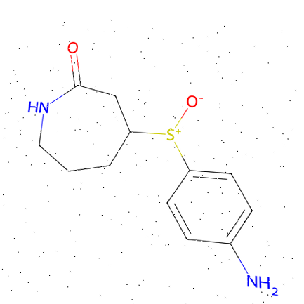 Nc1ccc([S+]([O-])C2CCCNC(=O)C2)cc1